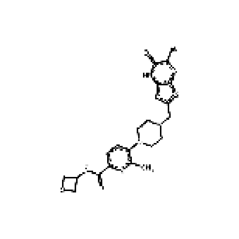 CCc1nc2sc(CN3CCN(c4ccc(C(=O)NC5COC5)nc4C)CC3)cc2[nH]c1=O